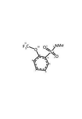 [CH2-][NH2+]S(=O)(=O)c1ccccc1OC(F)(F)F